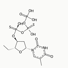 CC[C@H]1O[C@@H](n2cc(C)c(=O)[nH]c2=O)C[C@@H]1O[P@](O)(=S)OP(O)(=S)OP(=O)(O)O